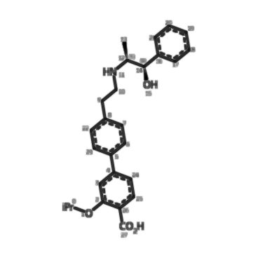 CC(C)Oc1cc(-c2ccc(CCN[C@@H](C)[C@H](O)c3ccccc3)cc2)ccc1C(=O)O